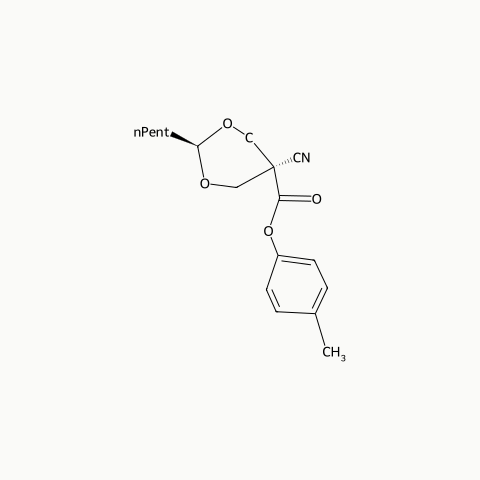 CCCCC[C@H]1OC[C@@](C#N)(C(=O)Oc2ccc(C)cc2)CO1